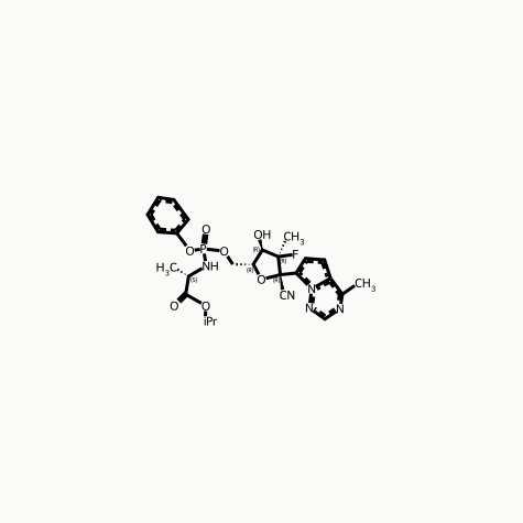 Cc1ncnn2c([C@]3(C#N)O[C@H](COP(=O)(N[C@@H](C)C(=O)OC(C)C)Oc4ccccc4)[C@@H](O)[C@@]3(C)F)ccc12